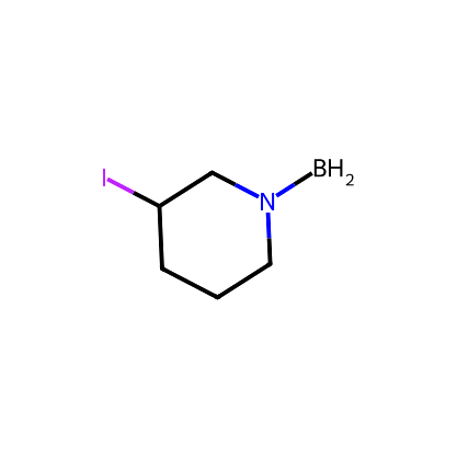 BN1CCCC(I)C1